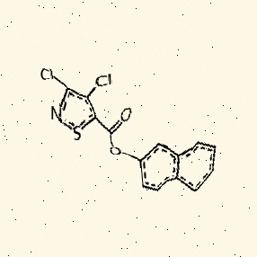 O=C(Oc1ccc2ccccc2c1)c1snc(Cl)c1Cl